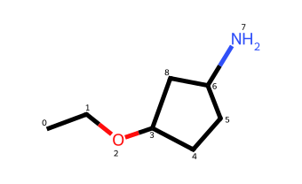 CCOC1CCC(N)C1